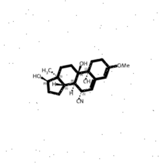 COC1=CC2=C[C@H](C#N)[C@H]3[C@@H]4CC[C@@H](O)[C@@]4(C)CC[C@]3(O)[C@@]2(C)CC1